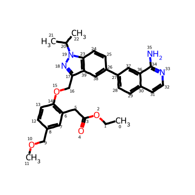 CCOC(=O)Cc1cc(COC)ccc1OCc1nn(C(C)C)c2ccc(-c3ccc4ccnc(N)c4c3)cc12